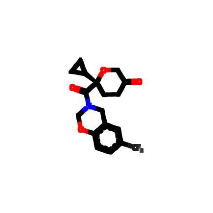 O=C1CC[C@@](C(=O)N2COc3ccc(C(F)(F)F)cc3C2)(C2CC2)OC1